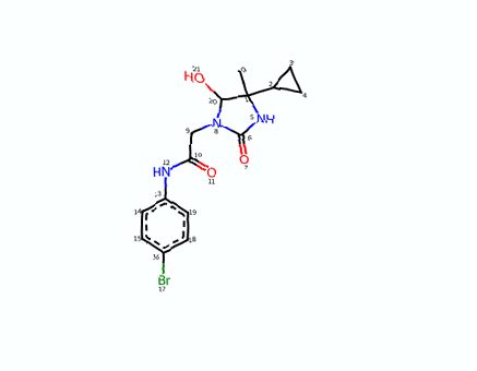 CC1(C2CC2)NC(=O)N(CC(=O)Nc2ccc(Br)cc2)C1O